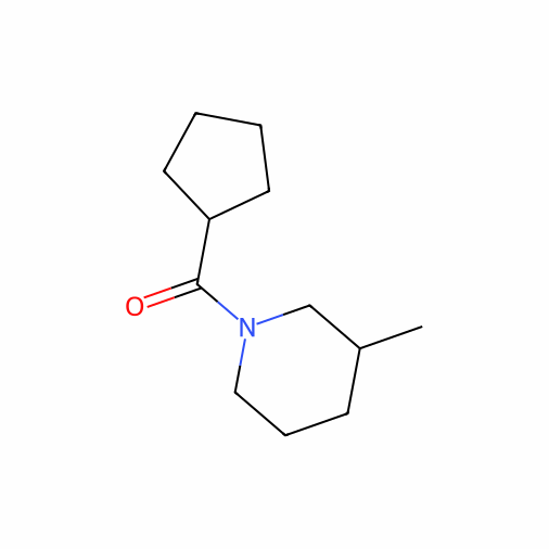 CC1CCCN(C(=O)C2CCCC2)C1